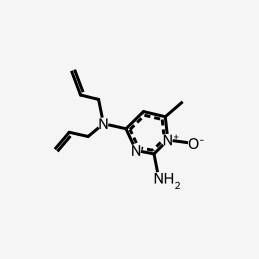 C=CCN(CC=C)c1cc(C)[n+]([O-])c(N)n1